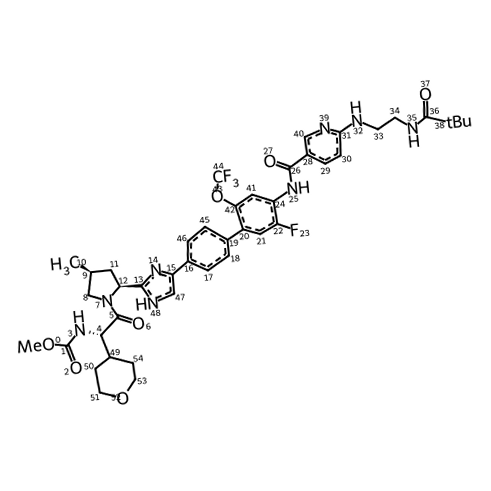 COC(=O)N[C@H](C(=O)N1C[C@@H](C)C[C@H]1c1nc(-c2ccc(-c3cc(F)c(NC(=O)c4ccc(NCCNC(=O)C(C)(C)C)nc4)cc3OC(F)(F)F)cc2)c[nH]1)C1CCOCC1